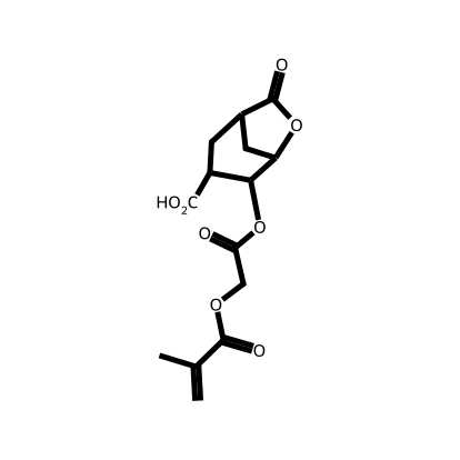 C=C(C)C(=O)OCC(=O)OC1C2CC(CC1C(=O)O)C(=O)O2